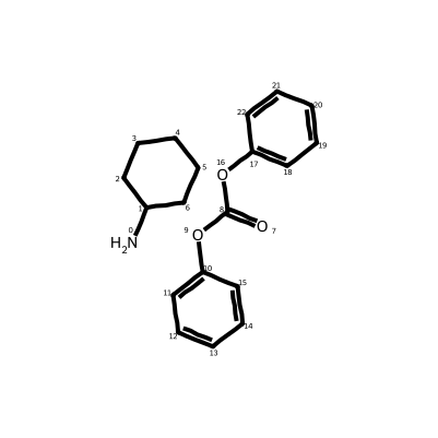 NC1CCCCC1.O=C(Oc1ccccc1)Oc1ccccc1